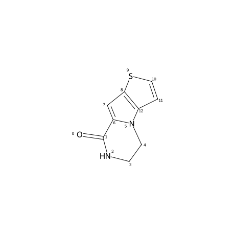 O=C1NCCn2c1cc1sccc12